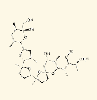 CCO[C@H]([C@H](C)[C@H]1O[C@@]2(CC[C@@](C)([C@H]3CC[C@@](C)([C@@H]4O[C@@H]([C@H]5O[C@@](O)(CO)[C@H](C)C[C@@H]5C)C[C@@H]4C)O3)O2)C[C@H](O)[C@H]1C)[C@H](C)C(=O)O